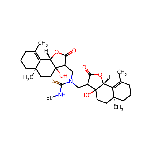 CCNC(=S)N(CC1C(=O)O[C@@H]2C3=C(C)CCC[C@@]3(C)CCC12O)CC1C(=O)O[C@H]2C3=C(C)CCC[C@]3(C)CCC12O